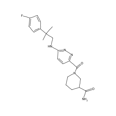 CC(C)(CNc1ccc(C(=O)N2CCCC(C(N)=O)C2)nn1)c1ccc(F)cc1